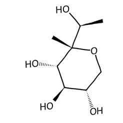 C[C@H](O)[C@]1(C)OC[C@H](O)[C@@H](O)[C@@H]1O